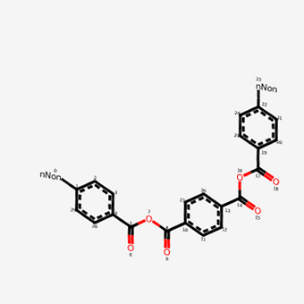 CCCCCCCCCc1ccc(C(=O)OC(=O)c2ccc(C(=O)OC(=O)c3ccc(CCCCCCCCC)cc3)cc2)cc1